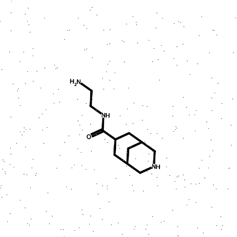 NCCNC(=O)C1CC2CNCC(C2)C1